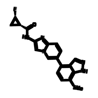 CSc1ccc(-c2ccc3nc(NC(=O)[C@@H]4C[C@@H]4F)cn3c2)c2cn[nH]c12